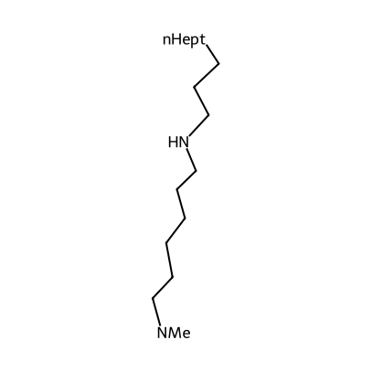 CCCCCCCCCCNCCCCCCNC